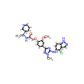 COc1cc(-c2nc(Nc3ccc4[nH]ncc4c3Cl)n(C)n2)ccc1OCC(=O)NC(C)c1cccnc1